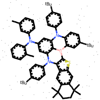 Cc1cccc(N(c2cc3c4c(c2)N(c2ccc(C(C)(C)C)cc2)c2c(sc5cc6c(cc25)C(C)(C)CCC6(C)C)B4c2cc(C(C)(C)C)ccc2N3c2ccc(C(C)(C)C)cc2)c2ccccc2C)c1